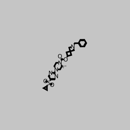 C[C@@H]1CN(c2ncc(S(=O)(=O)C3CC3)cn2)CCN1C(=O)OC1CC2(C1)CN(Cc1ccccc1)C2